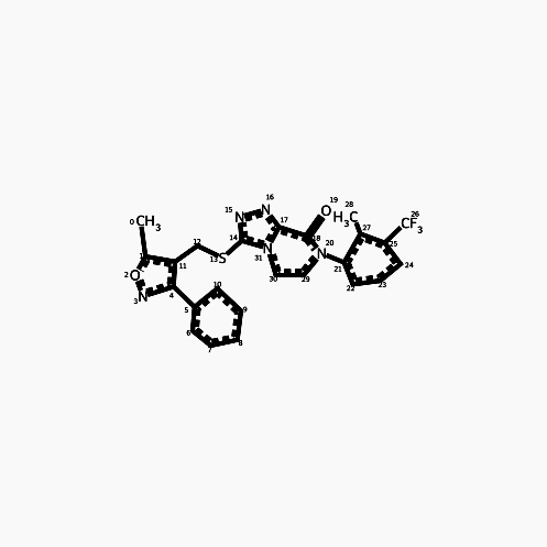 Cc1onc(-c2ccccc2)c1CSc1nnc2c(=O)n(-c3cccc(C(F)(F)F)c3C)ccn12